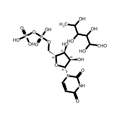 CC(O)C(O)C(O)C(O)C=O.O=c1ccn([C@@H]2O[C@H](COP(=O)(O)OP(=O)(O)O)[C@@H](O)[C@H]2O)c(=O)[nH]1